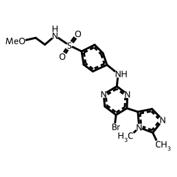 COCCNS(=O)(=O)c1ccc(Nc2ncc(Br)c(-c3cnc(C)n3C)n2)cc1